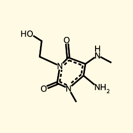 CNc1c(N)n(C)c(=O)n(CCO)c1=O